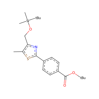 Cc1sc(-c2ccc(C(=O)OC(C)(C)C)cc2)nc1CO[Si](C)(C)C(C)(C)C